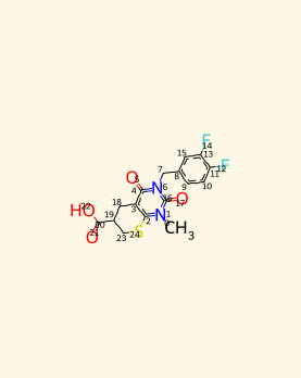 Cn1c2c(c(=O)n(Cc3ccc(F)c(F)c3)c1=O)CC(C(=O)O)CS2